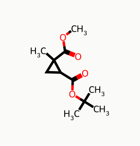 COC(=O)C1(C)CC1C(=O)OC(C)(C)C